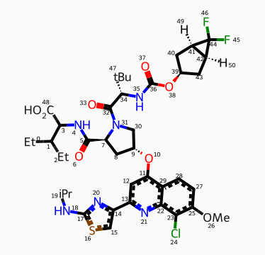 CCC(CC)C(NC(=O)[C@@H]1C[C@@H](Oc2cc(-c3csc(NC(C)C)n3)nc3c(Cl)c(OC)ccc23)CN1C(=O)[C@@H](NC(=O)O[C@H]1C[C@@H]2[C@H](C1)C2(F)F)C(C)(C)C)C(=O)O